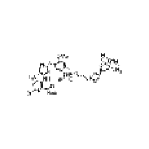 CNC(=O)c1nc(Br)ccc1Nc1nc(Nc2ccc(CP(=O)(OCCCn3cc(B4OC(C)(C)C(C)(C)O4)cn3)OC(C)C)cc2OC)ncc1C(F)(F)F